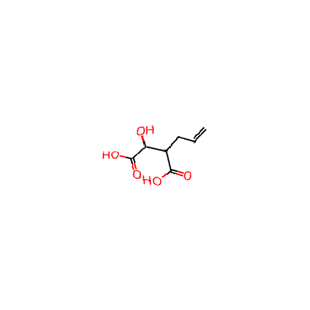 C=CCC(C(=O)O)C(O)C(=O)O